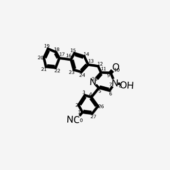 N#Cc1ccc(-c2cn(O)c(=O)c(Cc3ccc(-c4ccccc4)cc3)n2)cc1